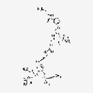 CC#CC(C)OCC1O[C@@H](BC#CCNC(=O)COCCOC(COc2cccc(C(=O)NCCN)c2)SSC(C)(C)C)C[C@H]1O[C@H](COP(=O)(O)O)SSC